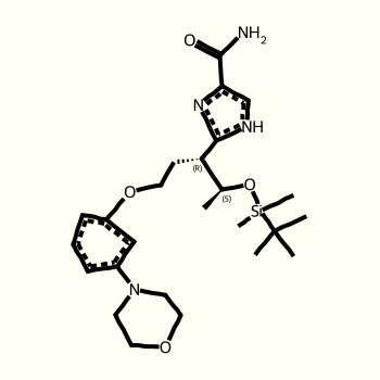 C[C@H](O[Si](C)(C)C(C)(C)C)[C@H](CCOc1cccc(N2CCOCC2)c1)c1nc(C(N)=O)c[nH]1